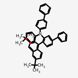 CC(C)(C)c1ccc2c(-c3ccc(-c4ccccc4)cc3N(c3ccccc3)c3ccc(-c4ccccc4)cc3)cc(C(C)(C)C)cc2c1